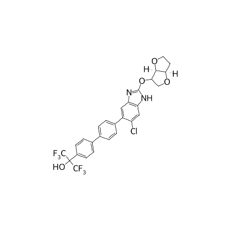 OC(c1ccc(-c2ccc(-c3cc4nc(OC5CO[C@@H]6CCO[C@H]56)[nH]c4cc3Cl)cc2)cc1)(C(F)(F)F)C(F)(F)F